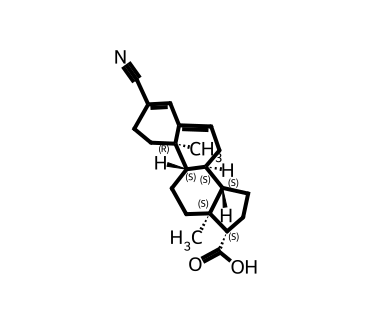 C[C@]12CC[C@H]3[C@@H](CC=C4C=C(C#N)CC[C@@]43C)[C@@H]1CC[C@@H]2C(=O)O